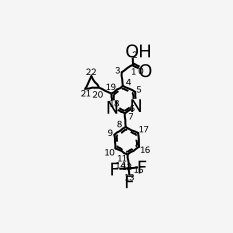 O=C(O)Cc1cnc(-c2ccc(C(F)(F)F)cc2)nc1C1CC1